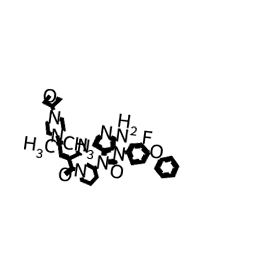 CC(C)(/C=C(\C#N)C(=O)N1CCCC(n2c(=O)n(-c3ccc(Oc4ccccc4)c(F)c3)c3c(N)nccc32)C1)N1CCN(C2COC2)CC1